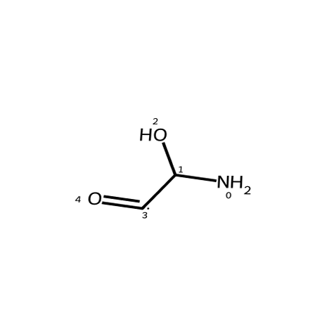 NC(O)[C]=O